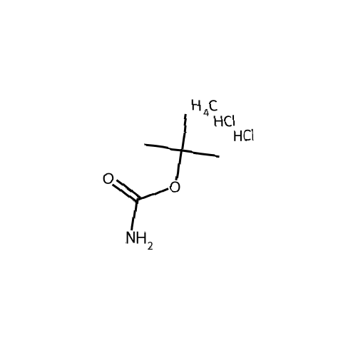 C.CC(C)(C)OC(N)=O.Cl.Cl